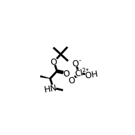 CN[C@@H](C)C(=O)OC(C)(C)C.[O-][Cl+2]([O-])O